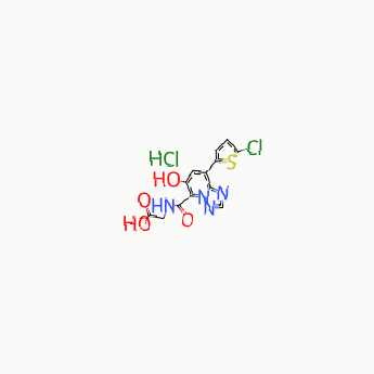 Cl.O=C(O)CNC(=O)c1c(O)cc(-c2ccc(Cl)s2)c2ncnn12